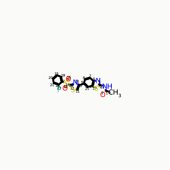 CC(=O)Nc1nc2ccc(-c3csc(S(=O)(=O)c4ccccc4F)n3)cc2s1